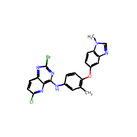 Cc1cc(Nc2nc(Br)nc3ccc(Cl)nc23)ccc1Oc1ccc2c(c1)ncn2C